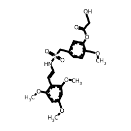 COc1cc(OC)c(/C=C/NS(=O)(=O)Cc2ccc(OC)c(OC(=O)CO)c2)c(OC)c1